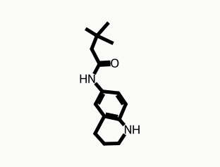 CC(C)(C)CC(=O)Nc1ccc2c(c1)CCCN2